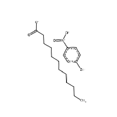 CCCCCCCCCCCC(=O)[O-].O=[N+]([O-])c1cc[c]([Zn+])cc1